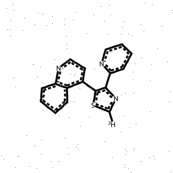 [2H]c1nc(-c2ccccn2)c(-c2ccnc3ccccc23)s1